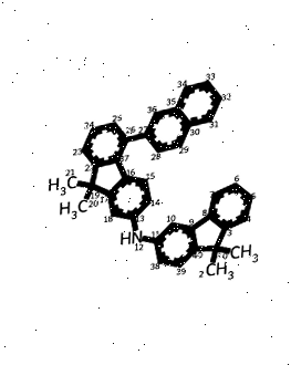 CC1(C)c2ccccc2-c2cc(Nc3ccc4c(c3)C(C)(C)c3cccc(-c5ccc6ccccc6c5)c3-4)ccc21